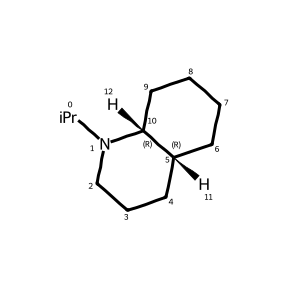 CC(C)N1CCC[C@H]2CCCC[C@H]21